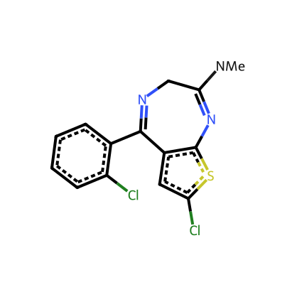 CNC1=Nc2sc(Cl)cc2C(c2ccccc2Cl)=NC1